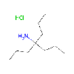 CCCC(N)(CCC)CCC.Cl